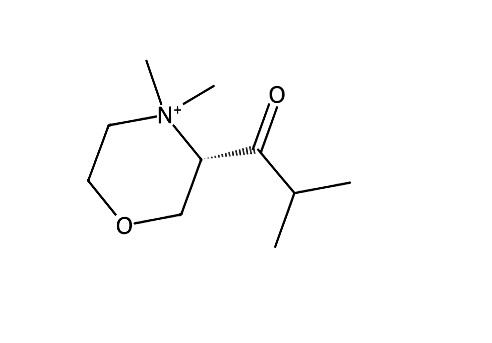 CC(C)C(=O)[C@@H]1COCC[N+]1(C)C